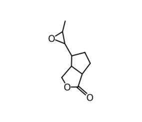 CC1OC1C1CCC2C(=O)OCC21